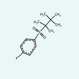 CC(C)(C)C(C)(C)S(=O)(=O)c1ccc(F)cc1